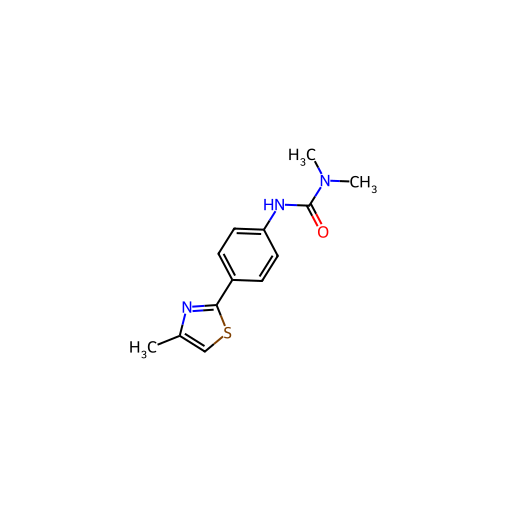 Cc1csc(-c2ccc(NC(=O)N(C)C)cc2)n1